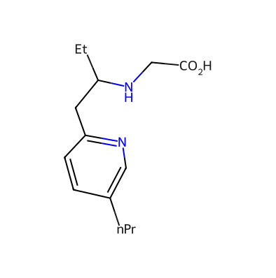 CCCc1ccc(CC(CC)NCC(=O)O)nc1